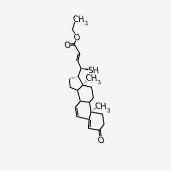 CCOC(=O)/C=C/[C@@H](S)[C@H]1CCC2C3C=CC4=CC(=O)CC[C@]4(C)C3CC[C@@]21C